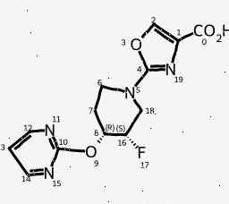 O=C(O)c1coc(N2CC[C@@H](Oc3ncccn3)[C@@H](F)C2)n1